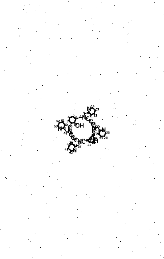 Oc1c2cccc1CN(Cc1ccccn1)CCCN(Cc1ccccn1)Cc1cccc(c1O)CN(Cc1ccccn1)CCCN(Cc1ccccn1)C2